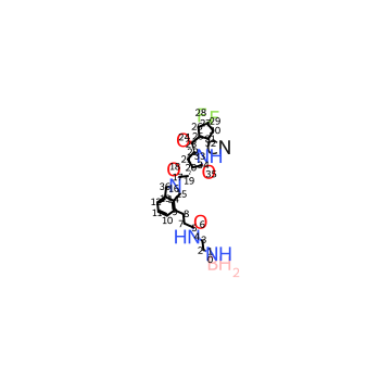 BNCCNC(=O)CCc1cccc2c1CN(C(=O)C[C@@H]1C[C@@H](C(=O)C3CC(F)(F)C[C@H]3C#N)NC1=O)C2